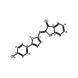 O=C1C(=Cc2ccc(-c3ccc(Cl)cc3)o2)Sc2ccccc21